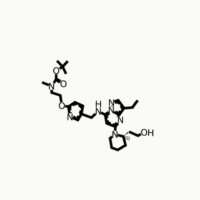 CCc1cnn2c(NCc3ccc(OCCN(C)C(=O)OC(C)(C)C)nc3)cc(N3CCCC[C@H]3CCO)nc12